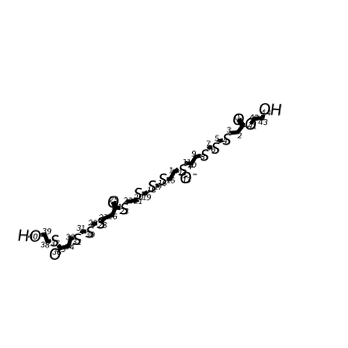 O=C(CCSCSCSCCC[S+]([O-])CCSCSCSCCSC(=O)CCSCSCSCCC(=O)SCCO)OCCO